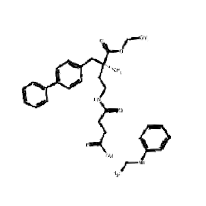 CCNc1ccccc1.CCOC(=O)[C@@](C)(CCNC(=O)CCC(=O)O)Cc1ccc(-c2ccccc2)cc1